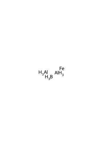 B.[AlH3].[AlH3].[Fe]